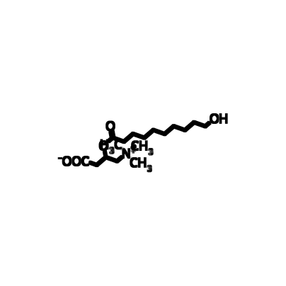 C[N+](C)(C)CC(CC(=O)[O-])OC(=O)CCCCCCCCCO